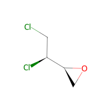 ClC[C@H](Cl)[C@@H]1CO1